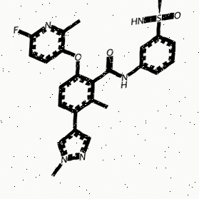 Cc1nc(F)ccc1Oc1ccc(-c2cnn(C)c2)c(C)c1C(=O)Nc1cccc([S@](C)(=N)=O)c1